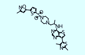 Cc1cc(-c2ccc(S(=O)(=O)N3CCN(CC(C)Nc4ncnc5c(-c6sc(C)nc6C)csc45)CC3)s2)on1